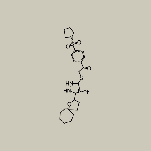 CCN1C(SCC(=O)c2ccc(S(=O)(=O)N3CCCC3)cc2)NNC1C1CCC2(CCCCCC2)O1